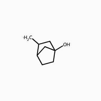 [CH2]C1CC2(O)CCC1C2